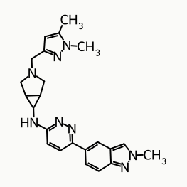 Cc1cc(CN2CC3C(C2)C3Nc2ccc(-c3ccc4nn(C)cc4c3)nn2)nn1C